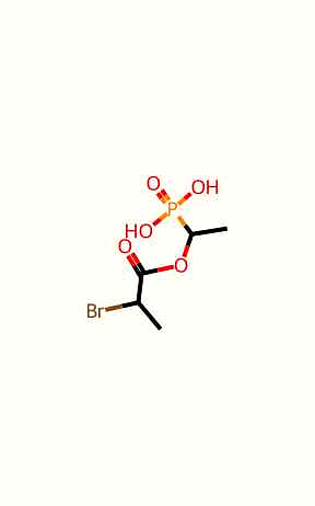 CC(Br)C(=O)OC(C)P(=O)(O)O